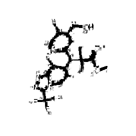 COC(=O)C(C)(C)[C@H](c1cc(CO)c(C)cn1)c1ccn2c(C(F)(F)F)nnc2c1C